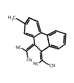 Cc1ccc2c(c1)c(=C(C#N)C#N)c(=C(C#N)C#N)c1ccccc12